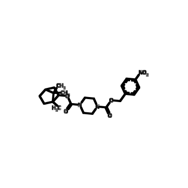 CC1(C)C2CCC1(C)C(OC(=O)N1CCN(C(=O)OCc3ccc([N+](=O)[O-])cc3)CC1)C2